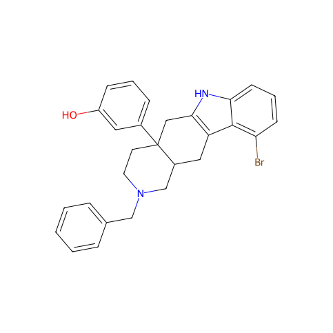 Oc1cccc(C23CCN(Cc4ccccc4)CC2Cc2c([nH]c4cccc(Br)c24)C3)c1